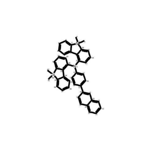 C[Si]1(C)c2ccccc2-c2c(N(c3ccc(-c4ccc5ccccc5c4)cc3)c3cccc4c3-c3ccccc3[Si]4(C)C)cccc21